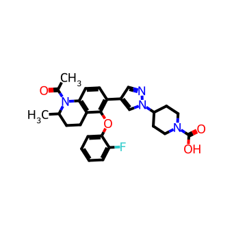 CC(=O)N1c2ccc(-c3cnn(C4CCN(C(=O)O)CC4)c3)c(Oc3ccccc3F)c2CCC1C